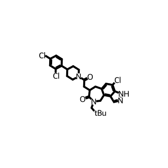 CC(C)(C)CN1Cc2c(cc(Cl)c3[nH]ncc23)CC(CC(=O)N2CCC(c3ccc(Cl)cc3Cl)CC2)C1=O